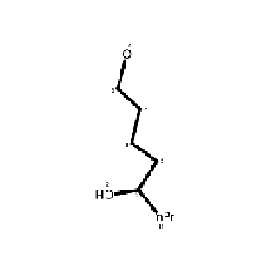 CCCC(O)CCCC[O]